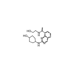 C=C(NCCO)c1cccc2cnc(NC3CCC(O)CC3)nc12